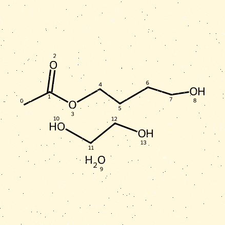 CC(=O)OCCCCO.O.OCCO